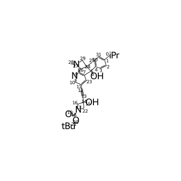 CC(C)c1ccc(C(O)(c2cncc(C#CC3(O)CN(C(=O)OC(C)(C)C)C3)c2)C2(C)CN(C)C2)cc1